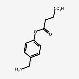 NCc1ccc(OC(=O)CCC(=O)O)cc1